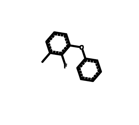 Cc1cccc(Oc2ccccc2)c1F